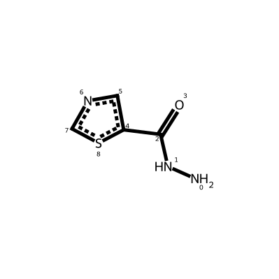 NNC(=O)c1cncs1